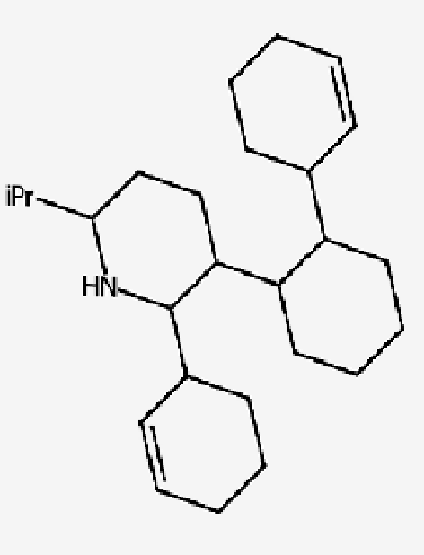 CC(C)C1CCC(C2CCCCC2C2C=CCCC2)C(C2C=CCCC2)N1